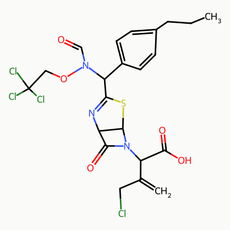 C=C(CCl)C(C(=O)O)N1C(=O)C2N=C(C(c3ccc(CCC)cc3)N(C=O)OCC(Cl)(Cl)Cl)SC21